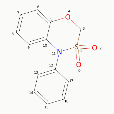 O=S1(=O)COc2ccccc2N1c1ccccc1